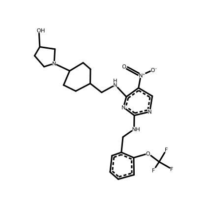 O=[N+]([O-])c1cnc(NCc2ccccc2OC(F)(F)F)nc1NCC1CCC(N2CCC(O)C2)CC1